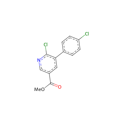 COC(=O)c1cnc(Cl)c(-c2ccc(Cl)cc2)c1